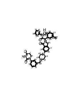 O=C1CCN(c2cccc(CN3CCN(c4ccc5c(c4)C(=O)N(C(C(=O)Nc4nccs4)c4cc(F)ccc4O)C5)CC3)c2)C(=O)N1